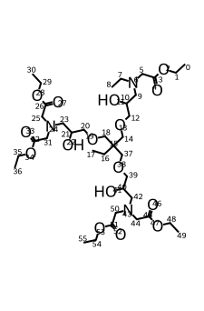 CCOC(=O)CN(CC)CC(O)COCC(CC)(COCC(O)CN(CC(=O)OCC)CC(=O)OCC)COCC(O)CN(CC(=O)OCC)CC(=O)OCC